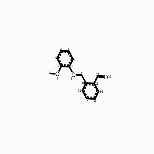 COc1ccccc1OCc1ccccc1C=O